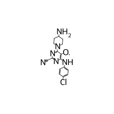 COc1c(Nc2ccc(Cl)cc2)nc(C#N)nc1N1CCC(N)CC1